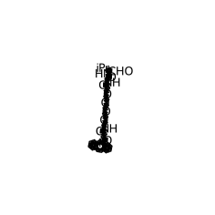 CC(C)C(C=O)NC(=O)CNC(=O)CCOCCOCCOCCOCCNC(=O)CCC(=O)N1Cc2ccccc2CCc2ccccc21